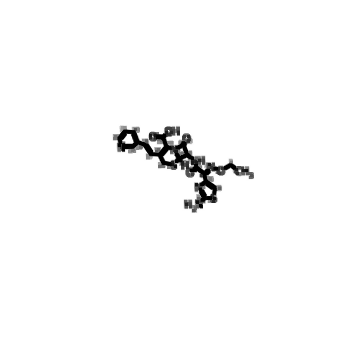 CCON=C(C(=O)NC1C(=O)N2C(C(=O)O)=C(C=Cc3cccnc3)CS[C@@H]12)c1csc(N)n1